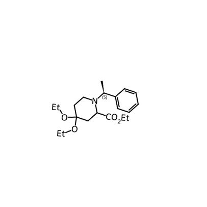 CCOC(=O)C1CC(OCC)(OCC)CCN1[C@@H](C)c1ccccc1